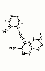 Nc1ncc2ccc(Cl)cc2c1C#Cc1ccccc1C=O